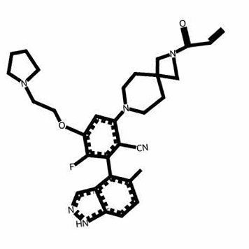 C=CC(=O)N1CC2(CCN(c3cc(OCCN4CCCC4)c(F)c(-c4c(C)ccc5[nH]ncc45)c3C#N)CC2)C1